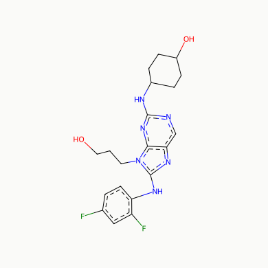 OCCCn1c(Nc2ccc(F)cc2F)nc2cnc(NC3CCC(O)CC3)nc21